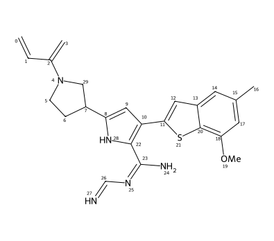 C=CC(=C)N1CCC(c2cc(-c3cc4cc(C)cc(OC)c4s3)c(/C(N)=N\C=N)[nH]2)C1